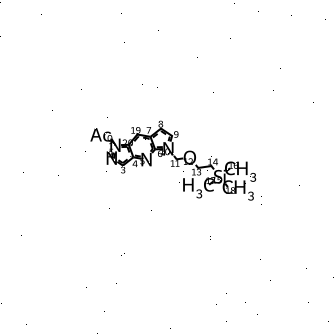 CC(=O)n1ncc2nc3c(ccn3COCC[Si](C)(C)C)cc21